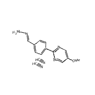 C#N.C#N.COc1cnc(-c2ccc(C=NN)cc2)nc1